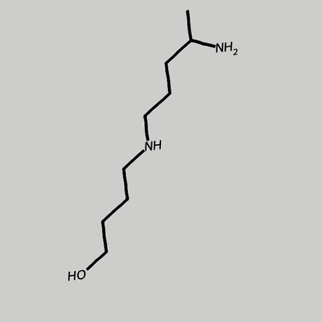 CC(N)CCCNCCCCO